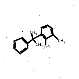 CCCc1c(C(C)(C)c2ccccc2)[c]ccc1C